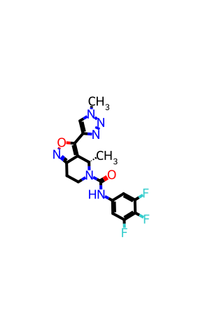 C[C@H]1c2c(noc2-c2cn(C)nn2)CCN1C(=O)Nc1cc(F)c(F)c(F)c1